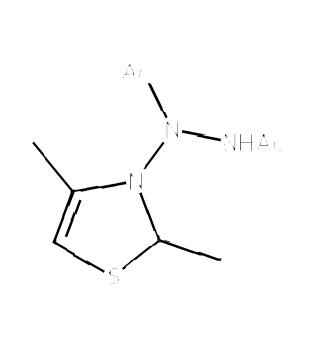 CC(=O)NN(C(C)=O)N1C(C)=CSC1C